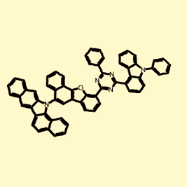 c1ccc(-c2nc(-c3cccc4c3oc3c5ccccc5c(-n5c6cc7ccccc7cc6c6ccc7ccccc7c65)cc43)nc(-c3cccc4c3c3ccccc3n4-c3ccccc3)n2)cc1